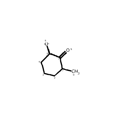 CC1CCCC([O])C1=O